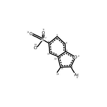 CC(=O)c1oc2ccc(S(=O)(=O)Cl)cc2c1C